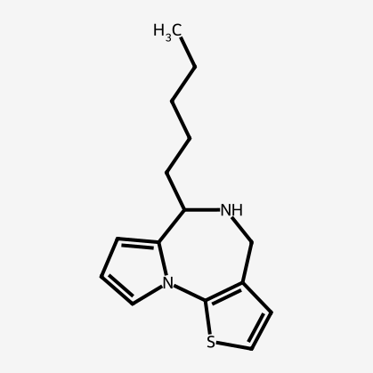 CCCCCC1NCc2ccsc2-n2cccc21